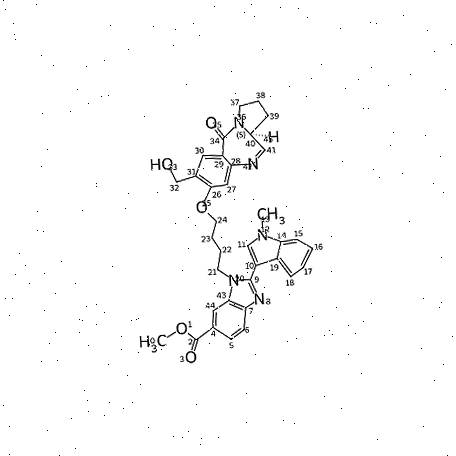 COC(=O)c1ccc2nc(-c3cn(C)c4ccccc34)n(CCCCOc3cc4c(cc3CO)C(=O)N3CCC[C@H]3C=N4)c2c1